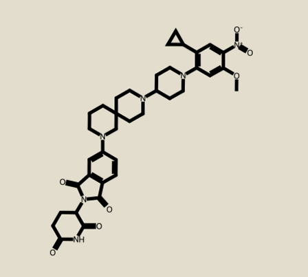 COc1cc(N2CCC(N3CCC4(CCCN(c5ccc6c(c5)C(=O)N(C5CCC(=O)NC5=O)C6=O)C4)CC3)CC2)c(C2CC2)cc1[N+](=O)[O-]